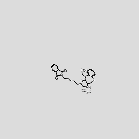 CCOC(=O)[C@H](CCCCCCN1C(=O)c2ccccc2C1=O)NC1COc2ccccc2N(CC(=O)O)C1=O